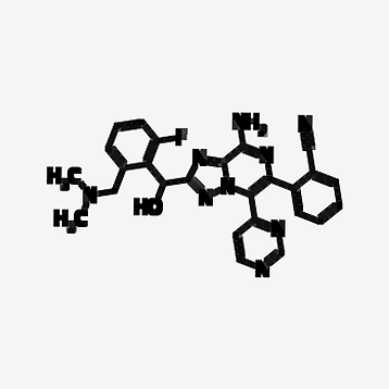 CN(C)Cc1cccc(F)c1C(O)c1nc2c(N)nc(-c3ccccc3C#N)c(-c3ccncn3)n2n1